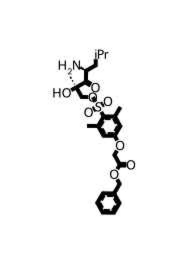 Cc1cc(OCC(=O)OCc2ccccc2)cc(C)c1S(=O)(=O)OC[C@@](C)(O)C(=O)[C@@H](N)CC(C)C